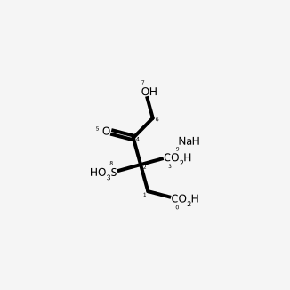 O=C(O)CC(C(=O)O)(C(=O)CO)S(=O)(=O)O.[NaH]